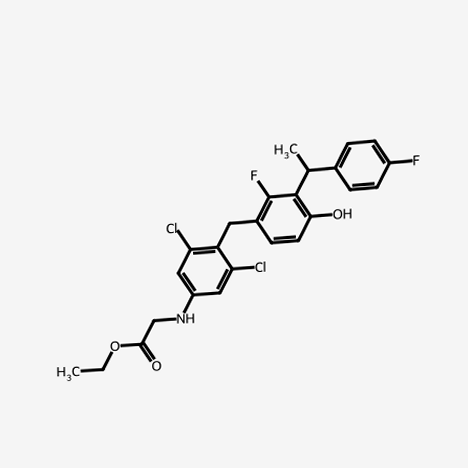 CCOC(=O)CNc1cc(Cl)c(Cc2ccc(O)c(C(C)c3ccc(F)cc3)c2F)c(Cl)c1